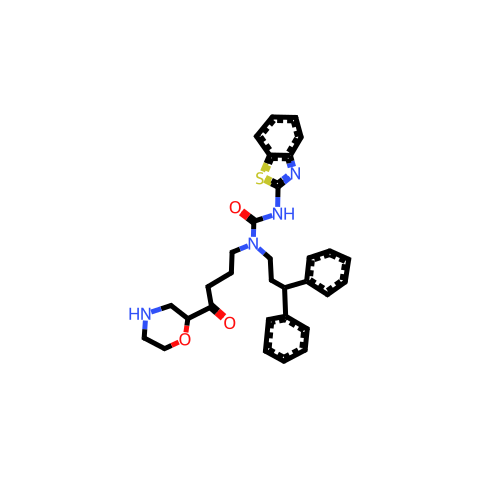 O=C(CCCN(CCC(c1ccccc1)c1ccccc1)C(=O)Nc1nc2ccccc2s1)C1CNCCO1